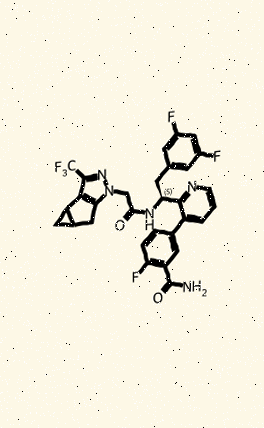 NC(=O)c1cc(-c2cccnc2[C@H](Cc2cc(F)cc(F)c2)NC(=O)Cn2nc(C(F)(F)F)c3c2CC2CC32)ccc1F